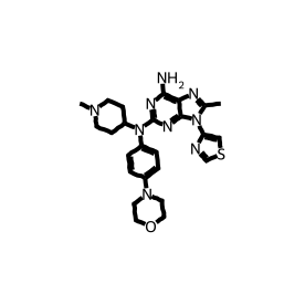 Cc1nc2c(N)nc(N(c3ccc(N4CCOCC4)cc3)C3CCN(C)CC3)nc2n1-c1cscn1